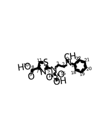 CN(CCN(c1nc(C(=O)O)cs1)S(=O)(=O)O)c1ccccc1